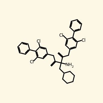 C=C(Cc1cc(Cl)c(-c2ccccc2)c(Cl)c1)C(N)(CC1CCCCC1)C(=C)Cc1cc(Cl)c(-c2ccccc2)c(Cl)c1